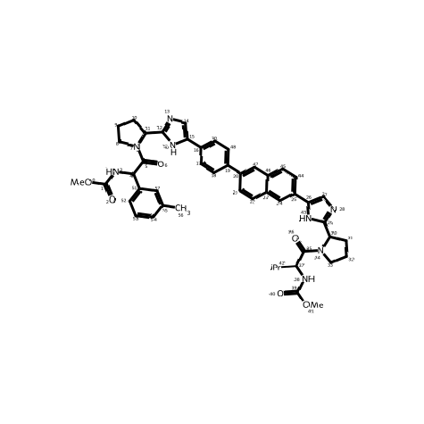 COC(=O)NC(C(=O)N1CCCC1c1ncc(-c2ccc(-c3ccc4cc(-c5cnc(C6CCCN6C(=O)C(NC(=O)OC)C(C)C)[nH]5)ccc4c3)cc2)[nH]1)c1cccc(C)c1